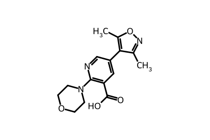 Cc1noc(C)c1-c1cnc(N2CCOCC2)c(C(=O)O)c1